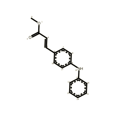 COC(=O)C=Cc1ccc(Nc2ccccc2)cc1